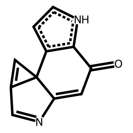 O=C1C=C2N=CC3=CC32c2cc[nH]c21